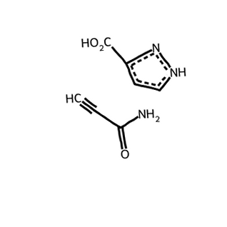 C#CC(N)=O.O=C(O)c1cc[nH]n1